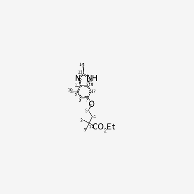 CCOC(=O)C(C)(C)CCOc1cc(C)c2nc(C)[nH]c2c1